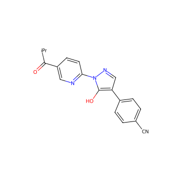 CC(C)C(=O)c1ccc(-n2ncc(-c3ccc(C#N)cc3)c2O)nc1